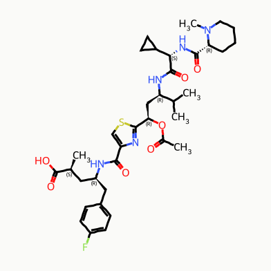 CC(=O)O[C@H](C[C@@H](NC(=O)[C@@H](NC(=O)[C@H]1CCCCN1C)C1CC1)C(C)C)c1nc(C(=O)N[C@@H](Cc2ccc(F)cc2)C[C@H](C)C(=O)O)cs1